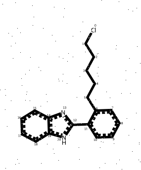 ClCCCCCc1ccccc1-c1nc2ccccc2[nH]1